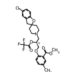 COC(=O)c1cc(C)ccc1OC[C@H](CN1CCC2(CC1)Cc1cc(Cl)ccc1O2)OC(=O)C(F)(F)F